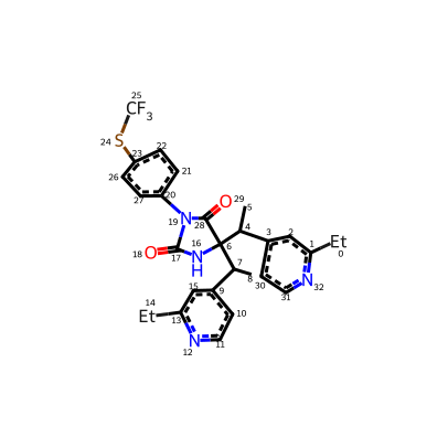 CCc1cc(C(C)C2(C(C)c3ccnc(CC)c3)NC(=O)N(c3ccc(SC(F)(F)F)cc3)C2=O)ccn1